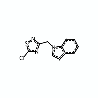 Clc1nc(Cn2c[c]c3ccccc32)ns1